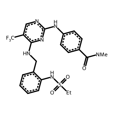 CCS(=O)(=O)Nc1ccccc1CNc1nc(Nc2ccc(C(=O)NC)cc2)ncc1C(F)(F)F